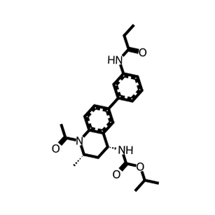 CCC(=O)Nc1cccc(-c2ccc3c(c2)[C@H](NC(=O)OC(C)C)C[C@H](C)N3C(C)=O)c1